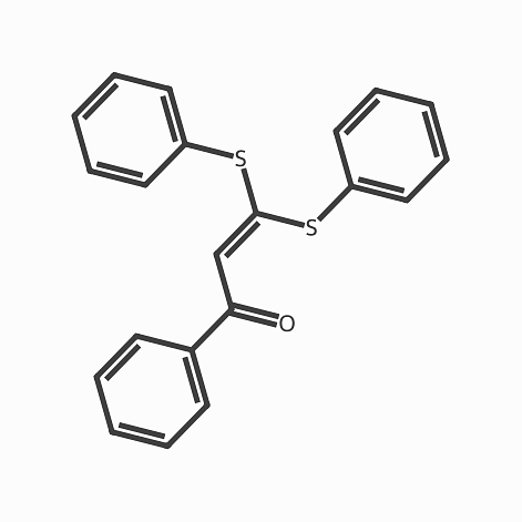 O=C(C=C(Sc1ccccc1)Sc1ccccc1)c1ccccc1